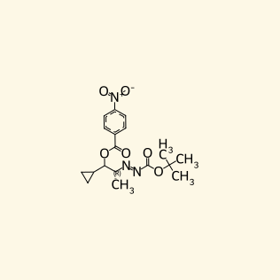 C[C@@H](N=NC(=O)OC(C)(C)C)C(OC(=O)c1ccc([N+](=O)[O-])cc1)C1CC1